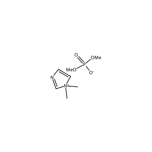 COP(=O)([O-])OC.C[N+]1(C)C=CN=C1